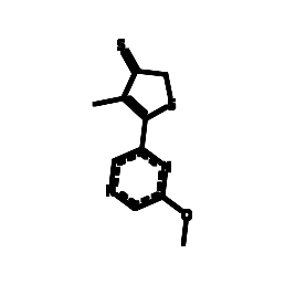 COc1cncc(C2=C(C)C(=S)CS2)n1